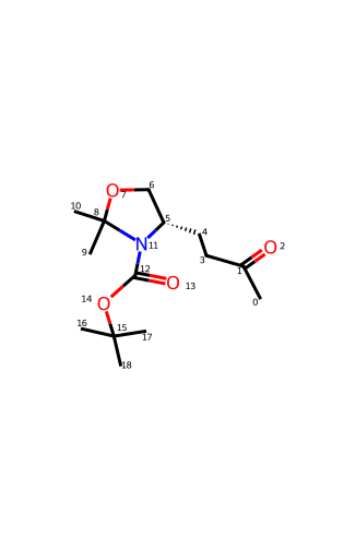 CC(=O)CC[C@H]1COC(C)(C)N1C(=O)OC(C)(C)C